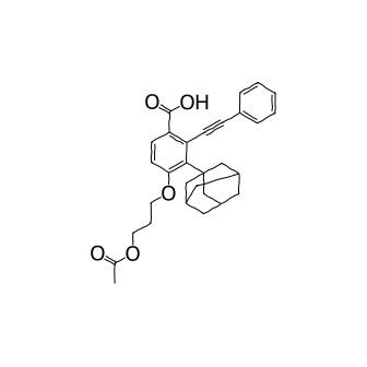 CC(=O)OCCCOc1ccc(C(=O)O)c(C#Cc2ccccc2)c1C12CC3CC(CC(C3)C1)C2